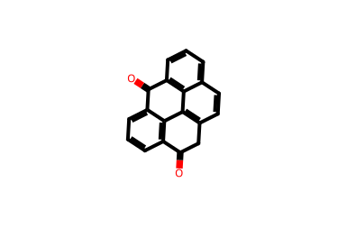 O=C1Cc2ccc3cccc4c3c2-c2c1cccc2C4=O